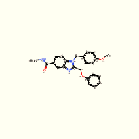 CCCCCCCNC(=O)c1ccc2c(c1)nc(COc1ccccc1)n2Cc1ccc(OC(F)(F)F)cc1